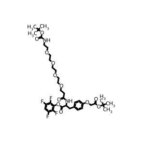 CC(C)(C)OC(=O)COc1ccc(CC(NC(=O)CCOCCOCCOCCOCCNC(=O)OC(C)(C)C)C(=O)Oc2c(F)c(F)cc(F)c2F)cc1